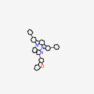 c1ccc(-c2ccc3c(c2)c2ccc4c5cc(-c6ccccc6)ccc5n(-c5cccc(-c6ccc7oc8ccccc8c7c6)n5)c4c2n3-c2ccccc2)cc1